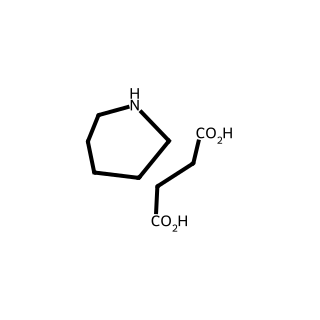 C1CCNCC1.O=C(O)CCC(=O)O